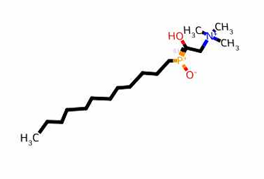 CCCCCCCCCCCC/[P+]([O-])=C(\O)C[N+](C)(C)C